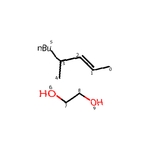 C/C=C/C(C)CCCC.OCCO